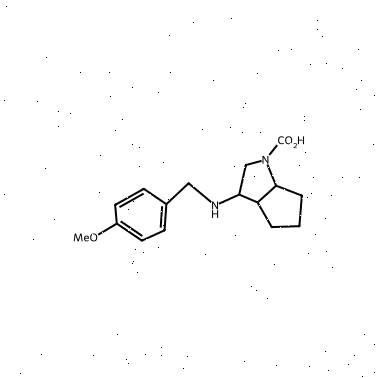 COc1ccc(CNC2CN(C(=O)O)C3CCCC23)cc1